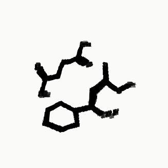 CC(C)COC(=O)CCC(=O)OCC(C)C.CC(C)OC(=O)CC(C(=O)O)C1CCCCC1